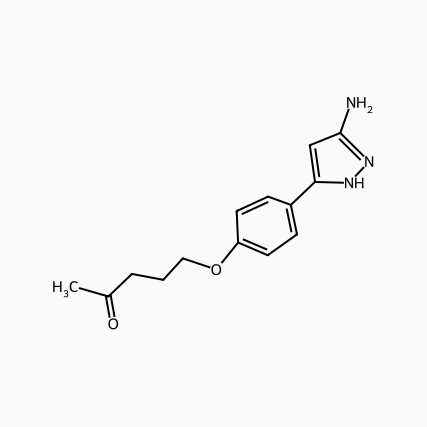 CC(=O)CCCOc1ccc(-c2cc(N)n[nH]2)cc1